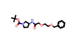 CC(C)(C)OC(=O)N1CC[C@H](NC(=O)COCCOCc2ccccc2)C1